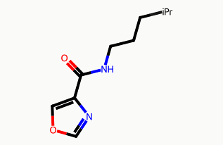 CC(C)CCCNC(=O)c1cocn1